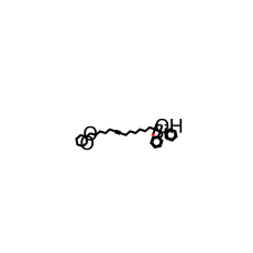 CC(C)(CCCCCCC#CCCCCOC1CCCCO1)[Si](O)(c1ccccc1)c1ccccc1